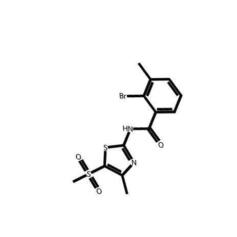 Cc1cccc(C(=O)Nc2nc(C)c(S(C)(=O)=O)s2)c1Br